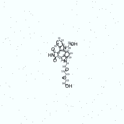 O=C1NC(=O)C(c2cn(CCOCCOCCO)c3ccccc23)=C1c1cn(CCO)c2ccccc12